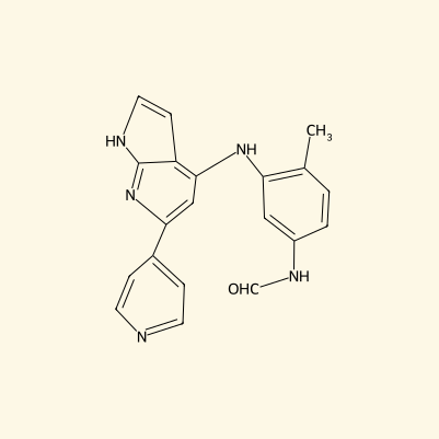 Cc1ccc(NC=O)cc1Nc1cc(-c2ccncc2)nc2[nH]ccc12